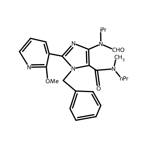 CCCN(C)C(=O)c1c(N(C=O)C(C)C)nc(-c2cccnc2OC)n1Cc1ccccc1